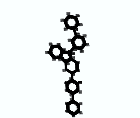 C1=CC(c2ccc(-c3ccccc3)cc2)Cc2c1n(-c1cccc(-c3ccccc3)c1)c1ccccc21